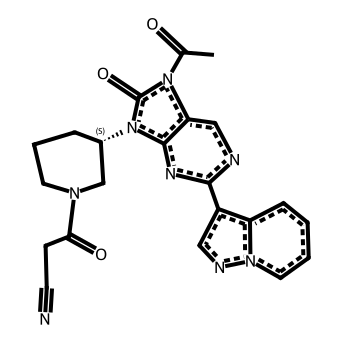 CC(=O)n1c(=O)n([C@H]2CCCN(C(=O)CC#N)C2)c2nc(-c3cnn4ccccc34)ncc21